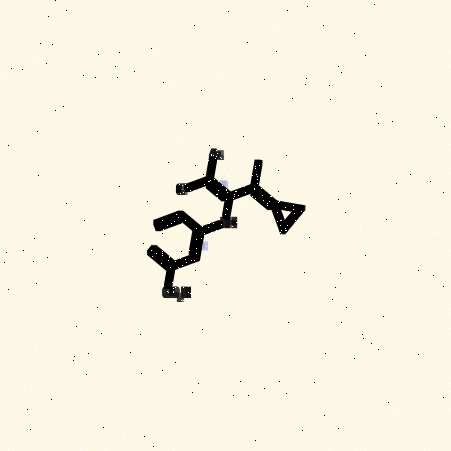 C=C/C(=C\C(=C)C(=O)O)N/C(C(C)=C1CC1)=C(\Cl)C(C)=O